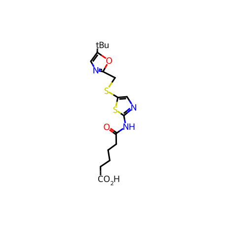 CC(C)(C)c1cnc(CSc2cnc(NC(=O)CCCCC(=O)O)s2)o1